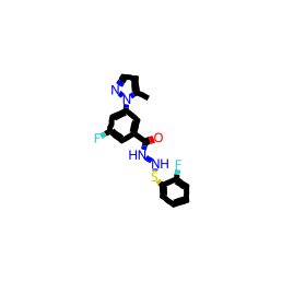 Cc1ccnn1-c1cc(F)cc(C(=O)NNSc2ccccc2F)c1